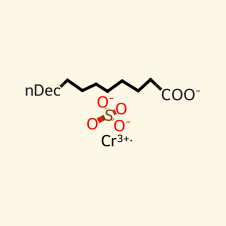 CCCCCCCCCCCCCCCCCC(=O)[O-].O=S(=O)([O-])[O-].[Cr+3]